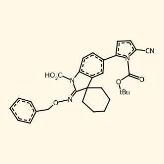 CC(C)(C)OC(=O)n1c(C#N)ccc1-c1ccc2c(c1)C1(CCCCC1)C(=NOCc1ccccc1)N2C(=O)O